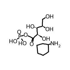 NC1CCCCC1.O=C(OP(=O)(O)O)[C@H](O)[C@H](O)[C@H](O)CO